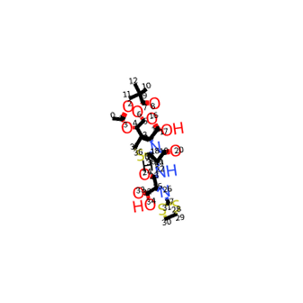 CC(=O)OC(COC(=O)C(C)(C)C)C1=C(C(=O)O)N2C(=O)[C@@H](NC(=O)C(=NC3SCCS3)C(=O)O)[C@H]2SC1